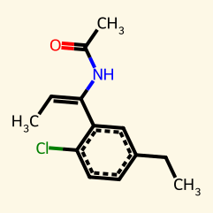 C/C=C(/NC(C)=O)c1cc(CC)ccc1Cl